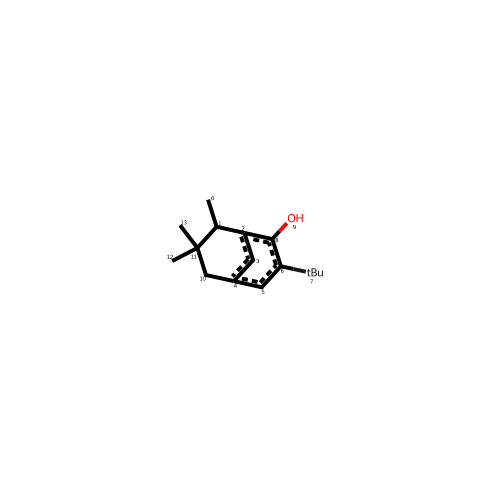 CC1c2cc(cc(C(C)(C)C)c2O)CC1(C)C